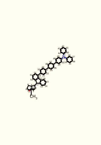 CC1C=C2C3CC(C1)CC3C2C1c2ccccc2-c2c(-c3ccc(-c4ccc(-c5ccc(N(c6ccccc6)c6ccccc6)cc5)cc4)cc3)cccc21